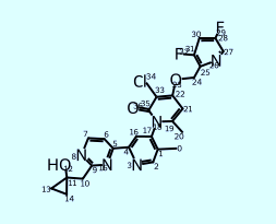 Cc1cnc(-c2ccnc(CC3(O)CC3)n2)cc1-n1c(C)cc(OCc2ncc(F)cc2F)c(Cl)c1=O